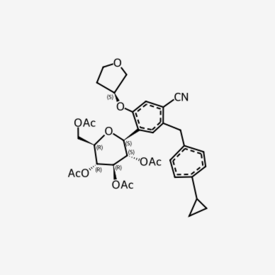 CC(=O)OC[C@H]1O[C@@H](c2cc(Cc3ccc(C4CC4)cc3)c(C#N)cc2O[C@H]2CCOC2)[C@H](OC(C)=O)[C@@H](OC(C)=O)[C@@H]1OC(C)=O